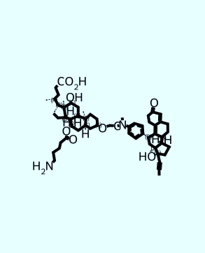 CC#C[C@]1(O)CC[C@H]2[C@@H]3CCC4=CC(=O)CCC4=C3[C@@H](c3ccc(N(C)CCO[C@H]4CC[C@@]5(C)[C@@H](C4)C[C@@H](OC(=O)CCCCN)[C@@H]4[C@@H]5C[C@H](O)[C@]5(C)[C@@H]([C@H](C)CCC(=O)O)CC[C@@H]45)cc3)C[C@@]21C